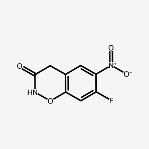 O=C1Cc2cc([N+](=O)[O-])c(F)cc2ON1